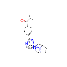 CC(C)C(=O)C1CC=C(c2nccc(N3C4CCC3CN(C(C)C)C4)n2)CC1